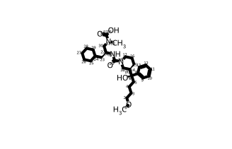 COCCCC[C@@](O)(c1ccccc1)[C@@H]1CCCN(C(=O)N[C@@H](CC2CCCCC2)CN(C)C(=O)O)C1